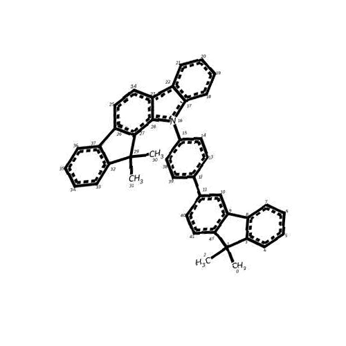 CC1(C)c2ccccc2-c2cc(-c3ccc(-n4c5ccccc5c5ccc6c(c54)C(C)(C)c4ccccc4-6)cc3)ccc21